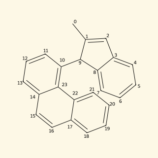 CC1=Cc2ccccc2C1c1cccc2ccc3ccccc3c12